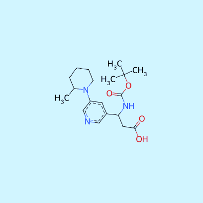 CC1CCCCN1c1cncc(C(CC(=O)O)NC(=O)OC(C)(C)C)c1